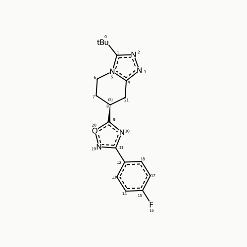 CC(C)(C)c1nnc2n1CC[C@H](c1nc(-c3ccc(F)cc3)no1)C2